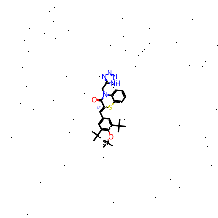 CC(C)(C)c1cc(/C=C2\Sc3ccccc3N(Cc3nnn[nH]3)C2=O)cc(C(C)(C)C)c1O[Si](C)(C)C